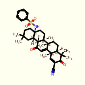 CC1(C)CC[C@]2(NS(=O)(=O)c3ccccc3)CC[C@]3(C)[C@H](C(=O)C=C4[C@@]5(C)C=C(C#N)C(=O)C(C)(C)[C@@H]5CC[C@]43C)[C@@H]2C1